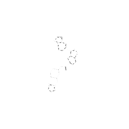 O=C(NC1CCCC(Cn2cccn2)C1)c1ccc2[nH]nc(-c3ccc4nccn4c3)c2c1